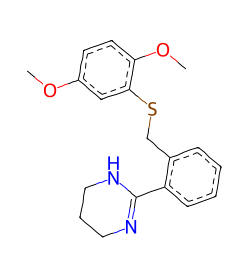 COc1ccc(OC)c(SCc2ccccc2C2=NCCCN2)c1